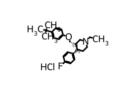 CCN1CC[C@@H](c2ccc(F)cc2)[C@H](COc2ccc(C(C)(C)C)cc2)C1.Cl